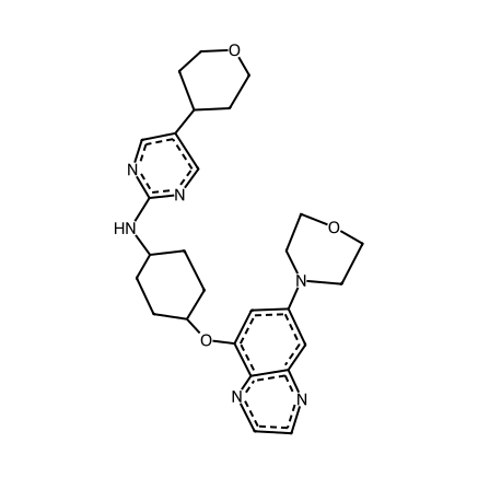 c1cnc2c(OC3CCC(Nc4ncc(C5CCOCC5)cn4)CC3)cc(N3CCOCC3)cc2n1